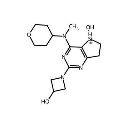 CN(c1nc(N2CC(O)C2)nc2c1[Si@H](O)CC2)C1CCOCC1